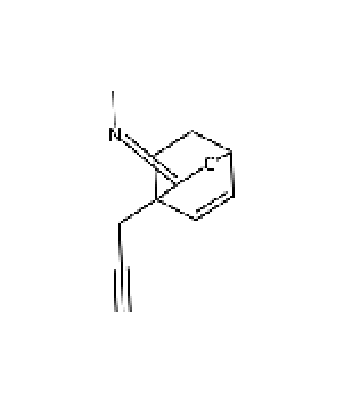 C#CCC12C=CC(CC1)C/C2=N\C